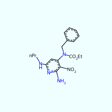 CCCNc1cc(N(Cc2ccccc2)C(=O)OCC)c([N+](=O)[O-])c(N)n1